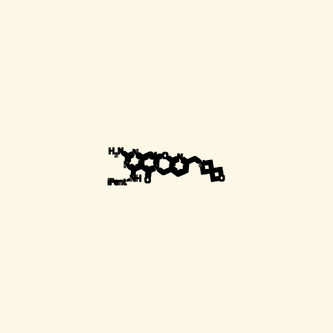 CCC[C@@H](C)Nc1nc(N)nc2ccn(Cc3ccc(CN4CC5(COC5)C4)nc3OC)c(=O)c12